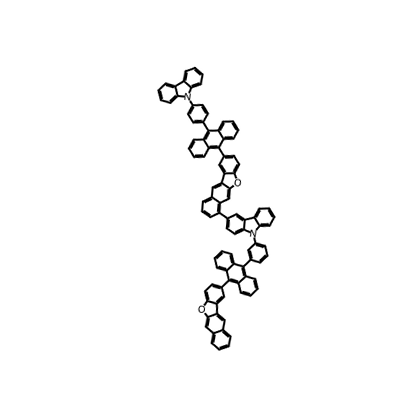 c1cc(-c2c3ccccc3c(-c3ccc4oc5cc6ccccc6cc5c4c3)c3ccccc23)cc(-n2c3ccccc3c3cc(-c4cccc5cc6c(cc45)oc4ccc(-c5c7ccccc7c(-c7ccc(-n8c9ccccc9c9ccccc98)cc7)c7ccccc57)cc46)ccc32)c1